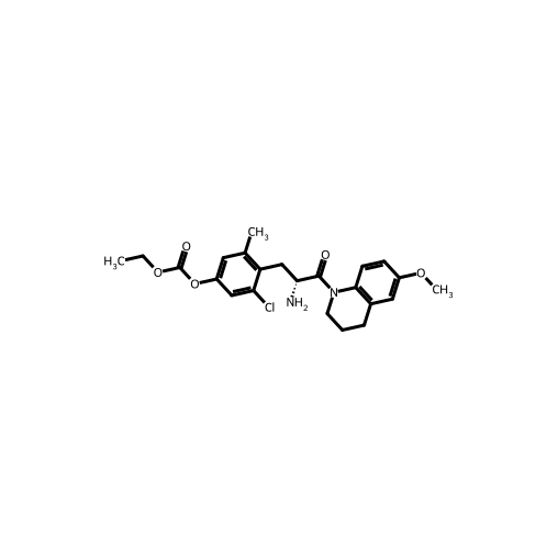 CCOC(=O)Oc1cc(C)c(C[C@@H](N)C(=O)N2CCCc3cc(OC)ccc32)c(Cl)c1